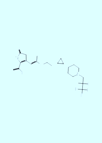 C=C(F)C1=C(/C=C(\C)OCC[C@@H]2C[C@@H]2C2CCN(CC(F)(F)C(F)(F)F)CC2)CC(=O)N1